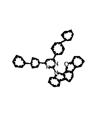 c1ccc(-c2ccc(-c3cc(-c4ccc(-c5ccccc5)cc4)nc(-n4c5ccccc5c5ccc6c7ccccc7oc6c54)n3)cc2)cc1